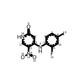 O=c1cc(Nc2ccc(I)cc2F)c([N+](=O)[O-])c[nH]1